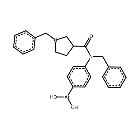 O=C(C1CCN(Cc2ccccc2)C1)N(Cc1ccccc1)c1ccc([As](O)O)cc1